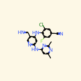 Cc1cc(Nc2cc(Nc3c(F)cc(C#N)cc3Cl)c(C=N)cn2)nc(C)n1